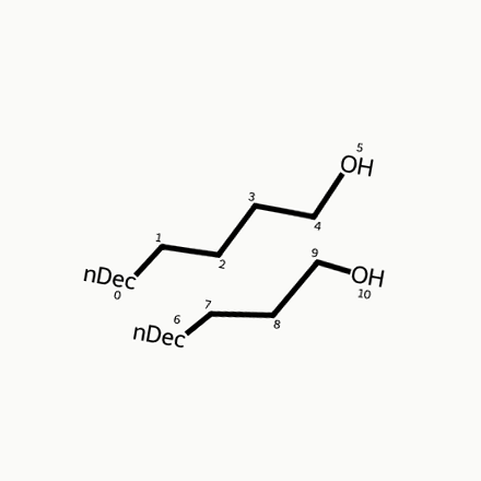 CCCCCCCCCCCCCCO.CCCCCCCCCCCCCO